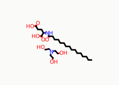 CCCCCCCCCCCCCCCC(=O)NC(CCC(=O)O)C(=O)O.OCCN(CCO)CCO